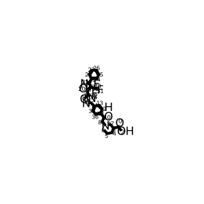 O=C(O)C1CCCN(C[C@H](O)c2ccc(-c3noc(-c4onc(-c5ccccc5)c4C(F)(F)F)n3)cc2)C1